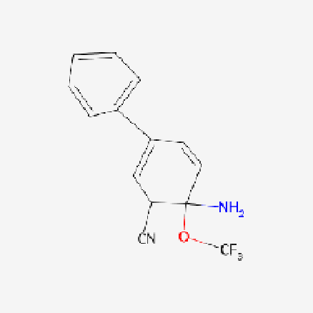 N#CC1C=C(c2ccccc2)C=CC1(N)OC(F)(F)F